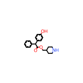 O=C(OCC1CCNCC1)C(c1ccccc1)c1ccc(O)cc1